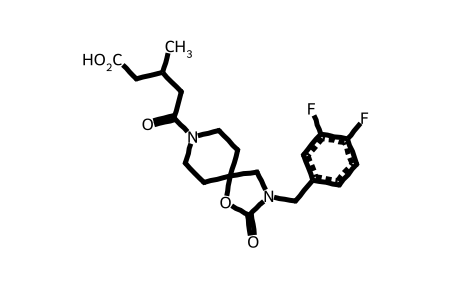 CC(CC(=O)O)CC(=O)N1CCC2(CC1)CN(Cc1ccc(F)c(F)c1)C(=O)O2